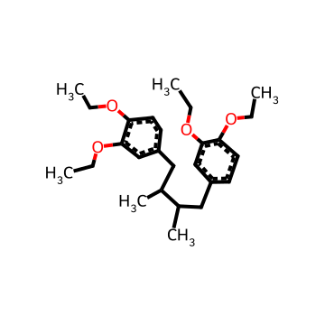 CCOc1ccc(CC(C)C(C)Cc2ccc(OCC)c(OCC)c2)cc1OCC